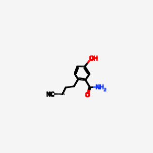 N#C[CH]CCc1ccc(O)cc1C(N)=O